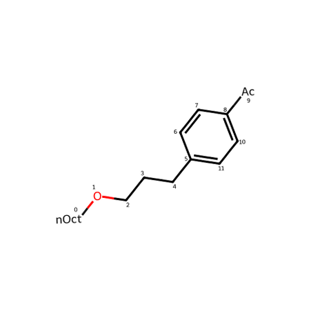 CCCCCCCCOCCCc1ccc(C(C)=O)cc1